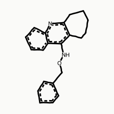 c1ccc(CONc2c3c(nc4ccccc24)CCCCC3)cc1